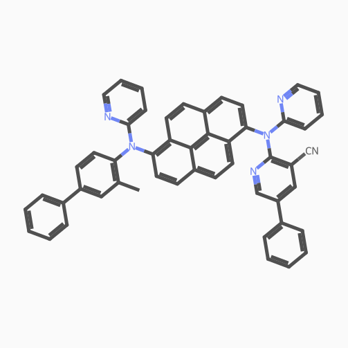 Cc1cc(-c2ccccc2)ccc1N(c1ccccn1)c1ccc2ccc3c(N(c4ccccn4)c4ncc(-c5ccccc5)cc4C#N)ccc4ccc1c2c43